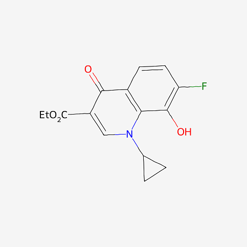 CCOC(=O)c1cn(C2CC2)c2c(O)c(F)ccc2c1=O